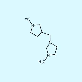 CC(=O)N1CCC(CN2CCN(C)C2)C1